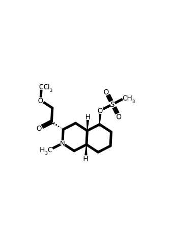 CN1C[C@H]2CCC[C@H](OS(C)(=O)=O)[C@H]2C[C@H]1C(=O)COC(Cl)(Cl)Cl